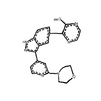 COc1nccnc1-c1ccc2[nH]nc(-c3ccnc(N4CCOCC4)c3)c2c1